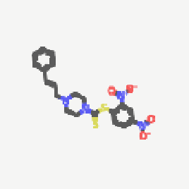 O=[N+]([O-])c1ccc(SC(=S)N2CCN(C/C=C/c3ccccc3)CC2)c([N+](=O)[O-])c1